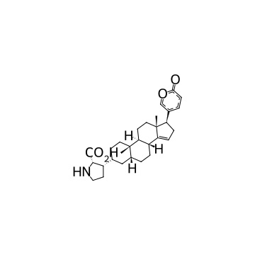 C[C@]12CCC([C@@H]3CCN[C@@H]3C(=O)O)C[C@H]1CC[C@H]1C3=CC[C@H](c4ccc(=O)oc4)[C@@]3(C)CC[C@@H]12